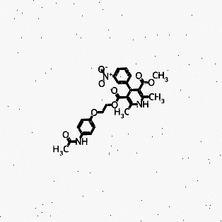 COC(=O)C1=C(C)NC(C)=C(C(=O)OCCOc2ccc(NC(C)=O)cc2)C1c1cccc([N+](=O)[O-])c1